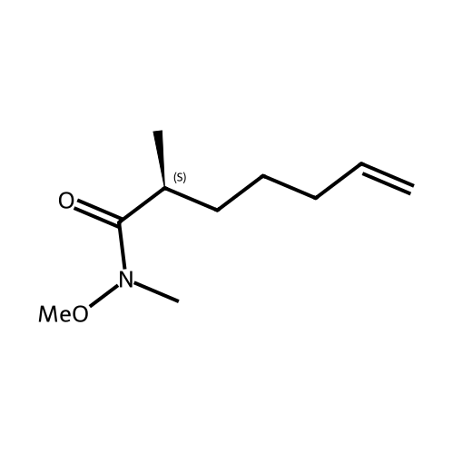 C=CCCC[C@H](C)C(=O)N(C)OC